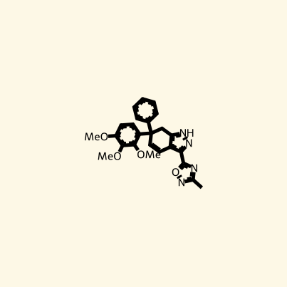 COc1ccc(C2(c3ccccc3)C=Cc3c(-c4nc(C)no4)n[nH]c3C2)c(OC)c1OC